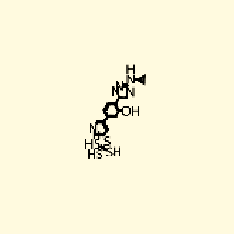 Oc1cc(-c2cnnc(SC(S)(S)S)c2)ccc1-c1cnc(NC2CC2)nn1